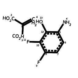 C=C(C(=O)O)C(=O)O.Nc1ccc(F)c(F)c1O